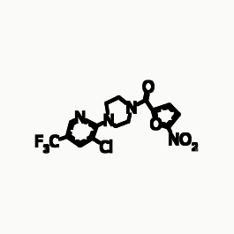 O=C(c1ccc([N+](=O)[O-])o1)N1CCN(c2ncc(C(F)(F)F)cc2Cl)CC1